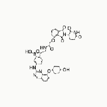 O=C(COc1cccc2c1C(=O)N(C1CCC(=O)NC1=O)C2=O)NCC1OB(O)c2cc(Nc3ncc4cccc(O[C@H]5CC[C@@H](O)CC5)c4n3)ccc21